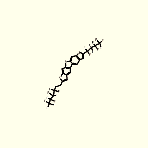 FC(F)(F)C(F)(F)C(F)(F)C(F)(F)CCc1cc2cc3c(cc2s1)sc1cc2sc(C(F)(F)C(F)(F)C(F)(F)C(F)(F)F)cc2cc13